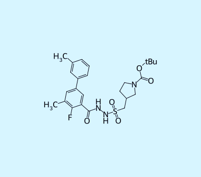 Cc1cccc(-c2cc(C)c(F)c(C(=O)NNS(=O)(=O)CC3CCN(C(=O)OC(C)(C)C)C3)c2)c1